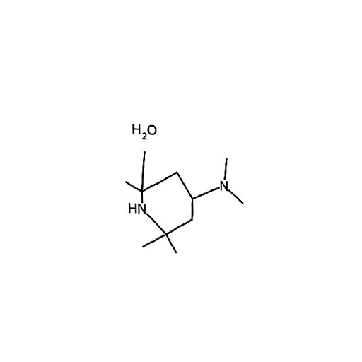 CN(C)C1CC(C)(C)NC(C)(C)C1.O